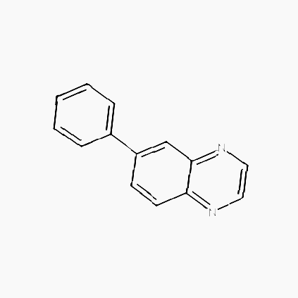 [c]1ccc(-c2ccc3nccnc3c2)cc1